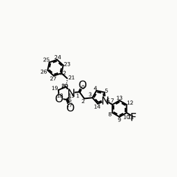 O=C(Cc1ccn(-c2ccc(F)cc2)c1)N1C(=O)OC[C@@H]1Cc1ccccc1